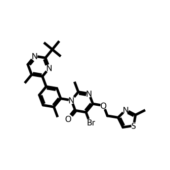 Cc1nc(COc2nc(C)n(-c3cc(-c4nc(C(C)(C)C)ncc4C)ccc3C)c(=O)c2Br)cs1